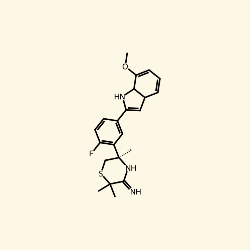 COC1=CC=CC2C=C(c3ccc(F)c([C@]4(C)CSC(C)(C)C(=N)N4)c3)NC12